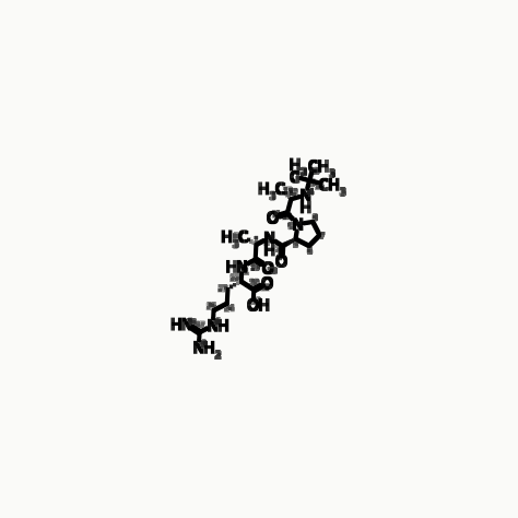 C[C@H](NC(=O)[C@@H]1CCCN1C(=O)[C@H](C)NC(C)(C)C)C(=O)N[C@@H](CCCNC(=N)N)C(=O)O